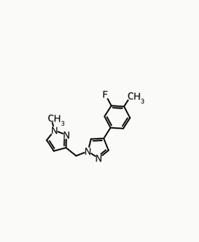 Cc1ccc(-c2cnn(Cc3ccn(C)n3)c2)cc1F